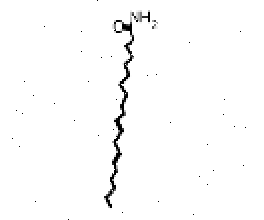 CCCCC/C=C/C/C=C/CCCCCCCCCC(N)=O